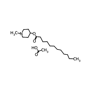 CC(=O)O.CCCCCCCCCCCC(=O)OC1CCN(C)CC1